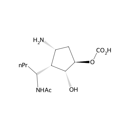 CCCC(NC(C)=O)[C@H]1[C@@H](O)[C@H](OC(=O)O)C[C@H]1N